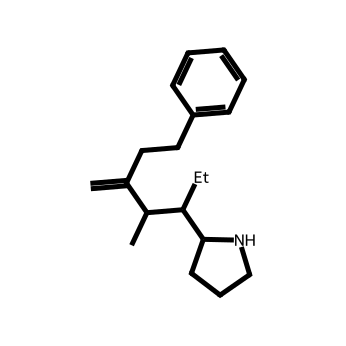 C=C(CCc1ccccc1)C(C)C(CC)C1CCCN1